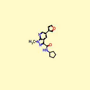 Cn1nc(C(=O)NC2CCCC2)c2cc(-c3ccoc3)cnc21